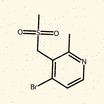 Cc1nccc(Br)c1CS(C)(=O)=O